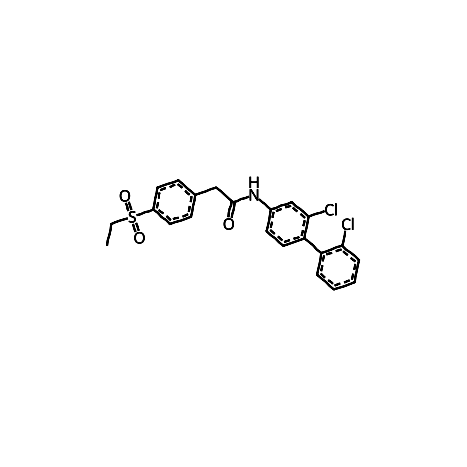 CCS(=O)(=O)c1ccc(CC(=O)Nc2ccc(-c3ccccc3Cl)c(Cl)c2)cc1